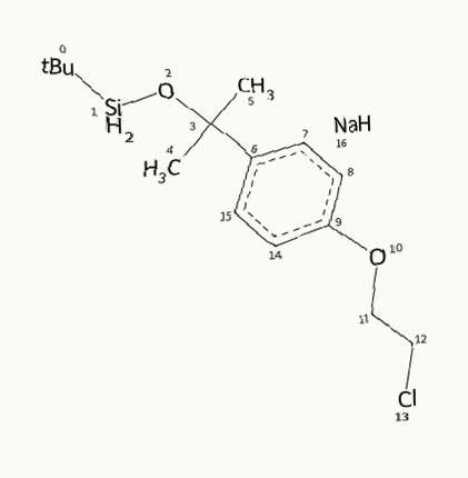 CC(C)(C)[SiH2]OC(C)(C)c1ccc(OCCCl)cc1.[NaH]